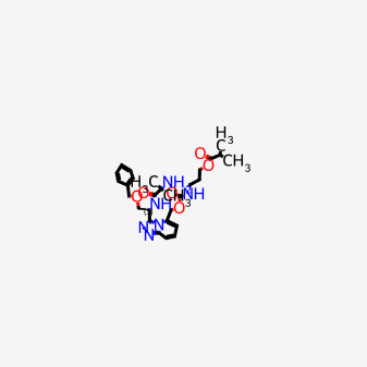 CC(C)C(=O)OCCCNC(=O)OCc1cccc2nnc([C@@H](COCc3ccccc3)NC(=O)C(C)(C)N)n12